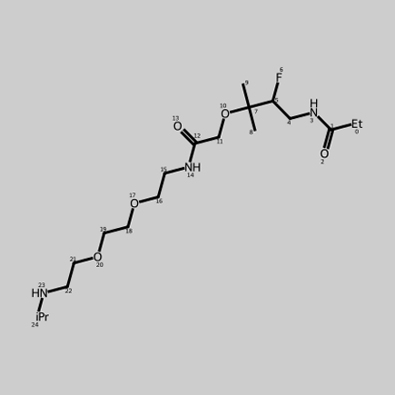 CCC(=O)NCC(F)C(C)(C)OCC(=O)NCCOCCOCCNC(C)C